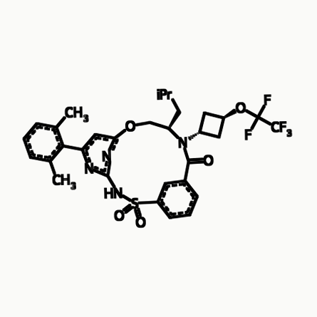 Cc1cccc(C)c1-c1cc2nc(n1)NS(=O)(=O)c1cccc(c1)C(=O)N([C@H]1C[C@H](OC(F)(F)C(F)(F)F)C1)[C@H](CC(C)C)CO2